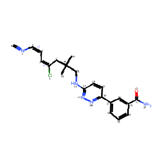 C=N/C=C\C=C(\Cl)CC(C)(C)CNc1ccc(-c2cccc(C(N)=O)c2)nn1